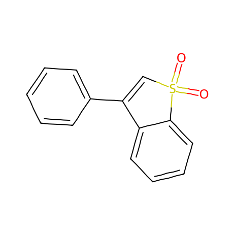 O=S1(=O)C=C(c2ccccc2)c2ccccc21